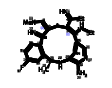 CCN/C1=C(\C(=N)CC)C/C(=C/NC)C(=N)c2ccc(F)cc2[C@@H](C)Nc2cc1cnc2N